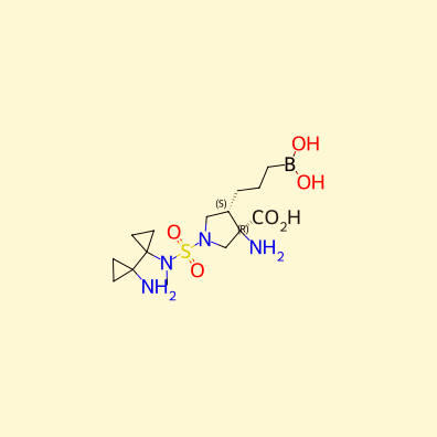 CN(C1(C2(N)CC2)CC1)S(=O)(=O)N1C[C@H](CCCB(O)O)[C@](N)(C(=O)O)C1